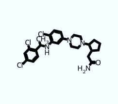 CC(Nc1cc(N2CCN(C3CCCC3CC(N)=O)CC2)ccc1Cl)c1ccc(Cl)cc1Cl